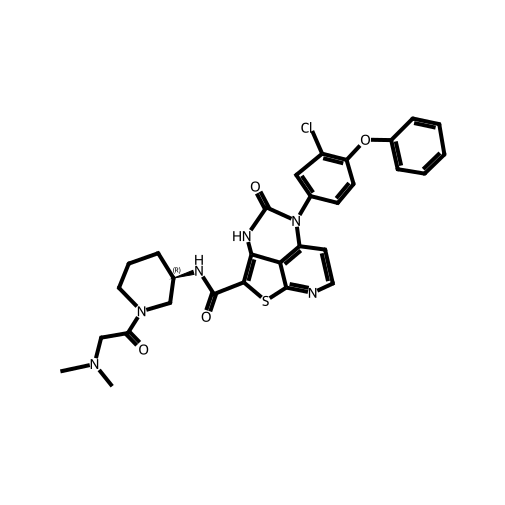 CN(C)CC(=O)N1CCC[C@@H](NC(=O)c2sc3nccc4c3c2NC(=O)N4c2ccc(Oc3ccccc3)c(Cl)c2)C1